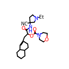 CCN1CCC(C#N)(NC(=O)C(CC2=CC3CCCCC3CC2)OC(=O)N2CCOCC2)C1